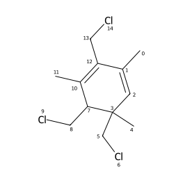 CC1=CC(C)(CCl)C(CCl)C(C)=C1CCl